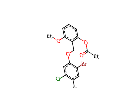 CCOc1cccc(OC(=O)CC)c1COc1cc(Cl)c(CC)cc1Br